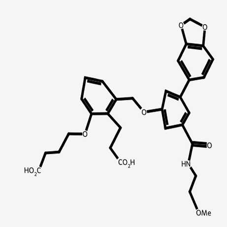 COCCNC(=O)c1cc(OCc2cccc(OCCCC(=O)O)c2CCC(=O)O)cc(-c2ccc3c(c2)OCO3)c1